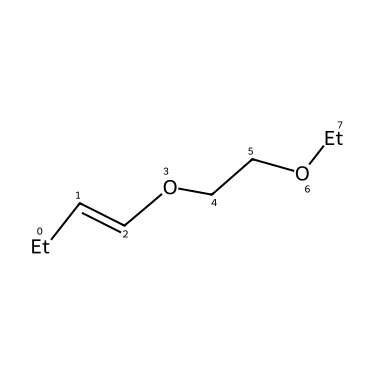 CCC=COCCOCC